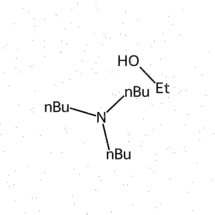 CCCCN(CCCC)CCCC.CCO